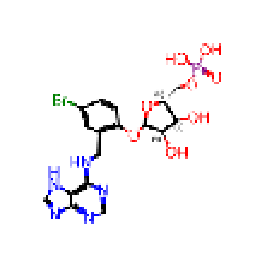 O=P(O)(O)OC[C@H]1OC(Oc2ccc(Br)cc2CNc2ncnc3nc[nH]c23)[C@H](O)[C@@H]1O